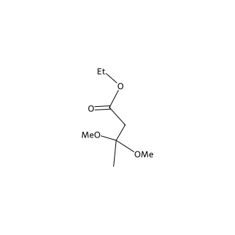 CCOC(=O)CC(C)(OC)OC